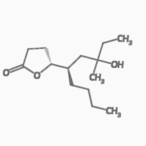 CCCC[C@H](CC(C)(O)CC)[C@H]1CCC(=O)O1